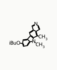 Cc1c2ccncc2cc2c3cc(OCC(C)C)ccc3n(C)c12